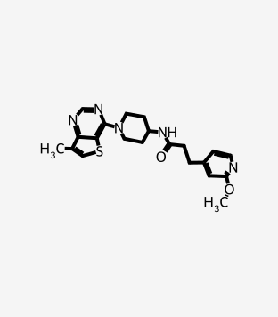 COc1cc(CCC(=O)NC2CCN(c3ncnc4c(C)csc34)CC2)ccn1